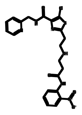 O=C(CCNCCc1nc(C(=O)NCc2ccccn2)c(Cl)s1)Nc1ccccc1[N+](=O)[O-]